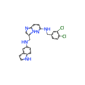 Clc1ccc(CNc2ccc3ncc(CNc4ccc5[nH]ccc5c4)n3n2)cc1Cl